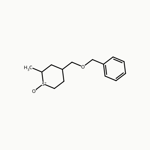 CC1CC(COCc2ccccc2)CC[S+]1[O-]